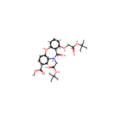 COC(=O)c1ccc2c(c1)N(CC(=O)OC(C)(C)C)C(=O)c1c(OCC(=O)OC(C)(C)C)cccc1O2